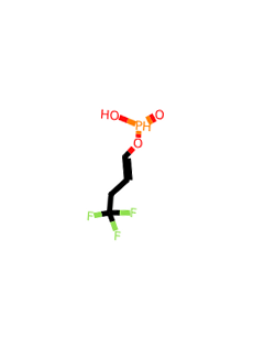 O=[PH](O)OC=CCC(F)(F)F